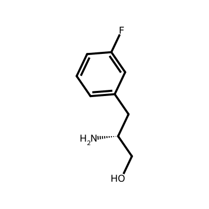 N[C@@H](CO)Cc1cccc(F)c1